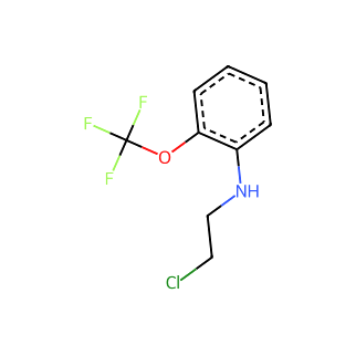 FC(F)(F)Oc1ccccc1NCCCl